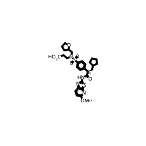 COc1ccc2nc(NC(=O)[C@H](CC3CCCC3)c3ccc(S(=O)(=O)N(CCC(=O)O)CC4CCCO4)cc3)sc2n1